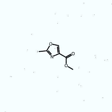 [CH]c1nc(C(=O)OC)co1